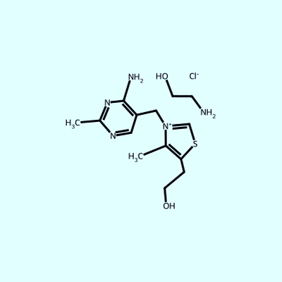 Cc1ncc(C[n+]2csc(CCO)c2C)c(N)n1.NCCO.[Cl-]